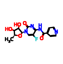 C[C@H]1O[C@@H](n2cc(F)c(NC(=O)c3ccncc3)nc2=O)[C@H](O)[C@@H]1O